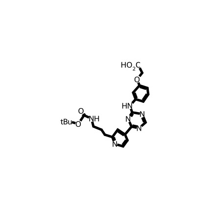 CC(C)(C)OC(=O)NCCCc1cc(-c2ncnc(Nc3cccc(OCC(=O)O)c3)n2)ccn1